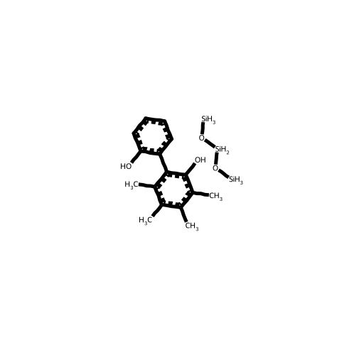 Cc1c(C)c(C)c(-c2ccccc2O)c(O)c1C.[SiH3]O[SiH2]O[SiH3]